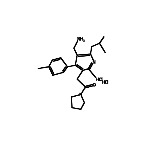 Cc1ccc(-c2c(CC(=O)N3CCCC3)c(C)nc(CC(C)C)c2CN)cc1.Cl.Cl